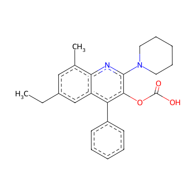 CCc1cc(C)c2nc(N3CCCCC3)c(OC(=O)O)c(-c3ccccc3)c2c1